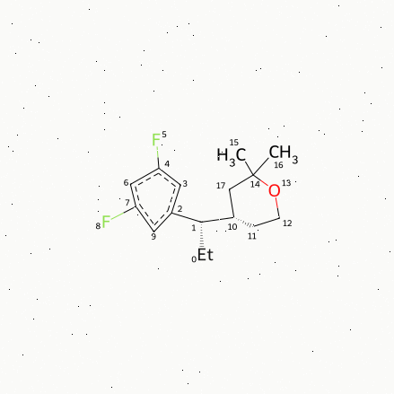 [CH2]C[C@H](c1cc(F)cc(F)c1)[C@H]1CCOC(C)(C)C1